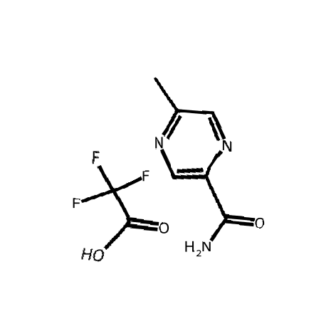 Cc1cnc(C(N)=O)cn1.O=C(O)C(F)(F)F